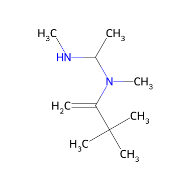 C=C(N(C)C(C)NC)C(C)(C)C